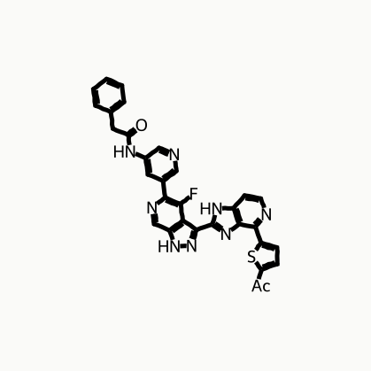 CC(=O)c1ccc(-c2nccc3[nH]c(-c4n[nH]c5cnc(-c6cncc(NC(=O)Cc7ccccc7)c6)c(F)c45)nc23)s1